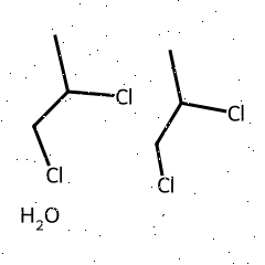 CC(Cl)CCl.CC(Cl)CCl.O